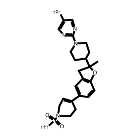 CCCc1cnc(N2CCC(C3(C)Cc4cc(C5=CCN(S(=O)(=O)CCC)CC5)ccc4O3)CC2)nc1